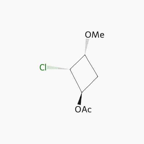 CO[C@@H]1C[C@@H](OC(C)=O)[C@@H]1Cl